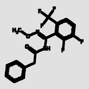 CO/N=C(\NC(=O)Cc1ccccc1)c1c(C(F)(F)F)ccc(F)c1F